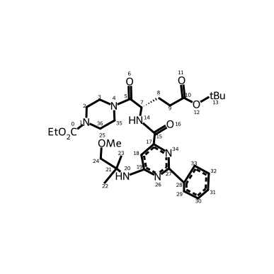 CCOC(=O)N1CCN(C(=O)[C@H](CCC(=O)OC(C)(C)C)NC(=O)c2cc(NC(C)(C)COC)nc(-c3ccccc3)n2)CC1